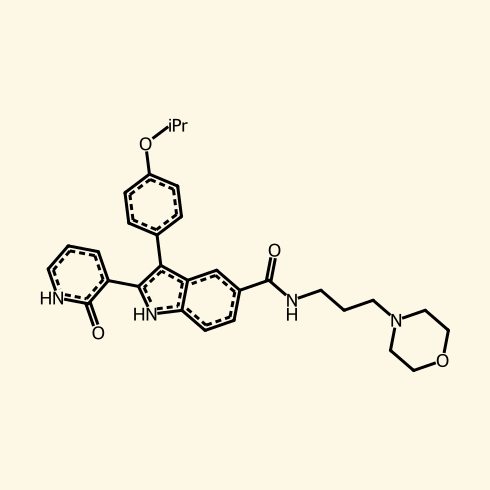 CC(C)Oc1ccc(-c2c(-c3ccc[nH]c3=O)[nH]c3ccc(C(=O)NCCCN4CCOCC4)cc23)cc1